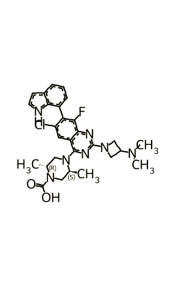 C[C@@H]1CN(c2nc(N3CC(N(C)C)C3)nc3c(F)c(-c4cccc5cc[nH]c45)c(Cl)cc23)[C@@H](C)CN1C(=O)O